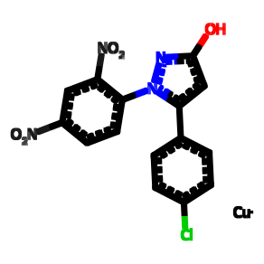 O=[N+]([O-])c1ccc(-n2nc(O)cc2-c2ccc(Cl)cc2)c([N+](=O)[O-])c1.[Cu]